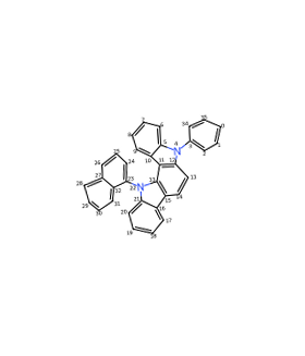 c1ccc(-n2c3ccccc3c3c2ccc2c4ccccc4n(-c4cccc5ccccc45)c23)cc1